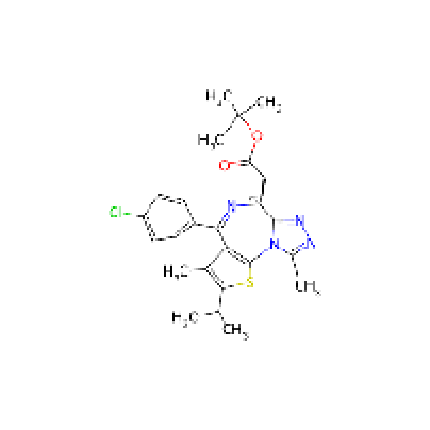 Cc1c(C(C)C)sc2c1C(c1ccc(Cl)cc1)=N[C@@H](CC(=O)OC(C)(C)C)c1nnc(C)n1-2